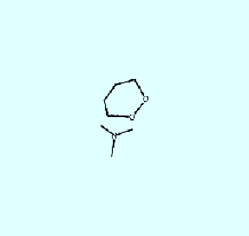 C1CCOOC1.CN(C)C